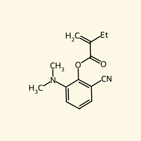 C=C(CC)C(=O)Oc1c(C#N)cccc1N(C)C